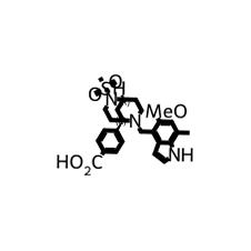 COc1cc(C)c2[nH]ccc2c1CN1CC[C@@H]2C[C@@]1(c1ccc(C(=O)O)cc1)CCN2S(C)(=O)=O